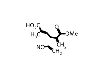 C=C(CC=C(C)C(=O)O)C(=O)OC.C=CC#N